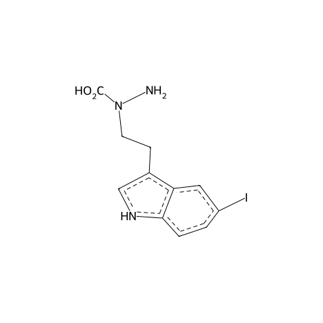 NN(CCc1c[nH]c2ccc(I)cc12)C(=O)O